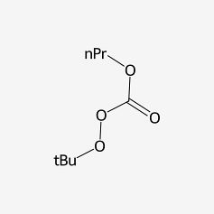 CCCOC(=O)OOC(C)(C)C